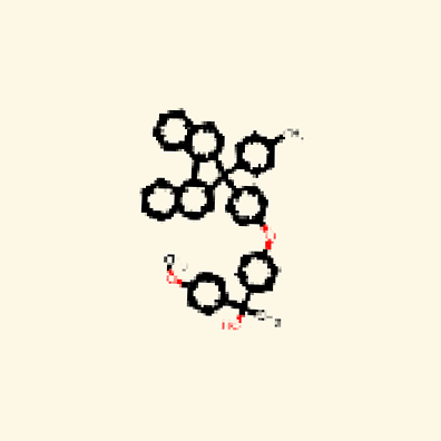 COc1ccc(C(C)(O)c2ccc(Oc3ccc(C4(c5ccc(C)cc5)c5ccc6ccccc6c5-c5c4ccc4ccccc54)cc3)cc2)cc1